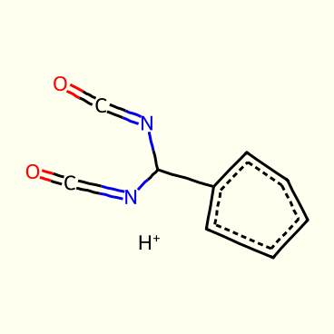 O=C=NC(N=C=O)c1ccccc1.[H+]